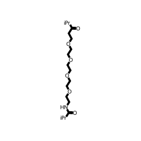 CC(C)C(=O)CCOCCOCCOCCOCCNC(=O)C(C)C